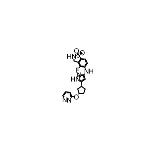 O=S1(=O)NCc2c1ccc(Nc1cc([C@H]3CC[C@@H](Oc4cccnn4)C3)[nH]n1)c2F